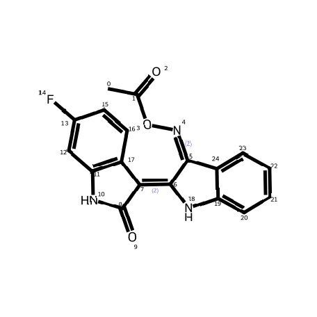 CC(=O)O/N=C1\C(=C2\C(=O)Nc3cc(F)ccc32)Nc2ccccc21